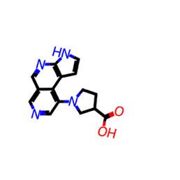 O=C(O)C1CCN(c2cncc3cnc4[nH]ccc4c23)C1